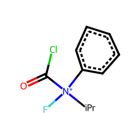 CC(C)[N+](F)(C(=O)Cl)c1ccccc1